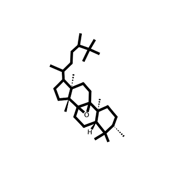 CC(CCC(C)C(C)(C)C)C1CC[C@@]2(C)C34CC[C@H]5C(C)(C)[C@@H](C)CC[C@]5(C)C3(CC[C@]12C)O4